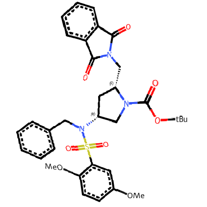 COc1ccc(OC)c(S(=O)(=O)N(Cc2ccccc2)[C@@H]2C[C@H](CN3C(=O)c4ccccc4C3=O)N(C(=O)OC(C)(C)C)C2)c1